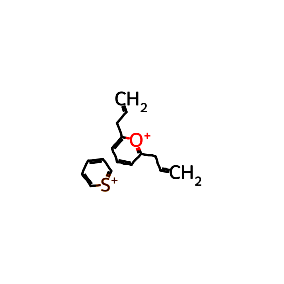 C=CCc1cccc(CC=C)[o+]1.c1cc[s+]cc1